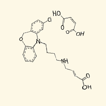 O=C(O)/C=C/CNCCCCN1c2cc(Cl)ccc2COc2ccccc21.O=C(O)/C=C\C(=O)O